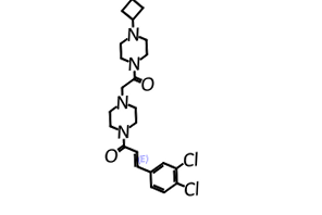 O=C(/C=C/c1ccc(Cl)c(Cl)c1)N1CCN(CC(=O)N2CCN(C3CCC3)CC2)CC1